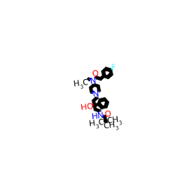 CCN(C(=O)Cc1ccc(F)cc1)C1CCN(CCC(O)(CCNC(=O)C(C)(C)C)c2ccccc2)CC1